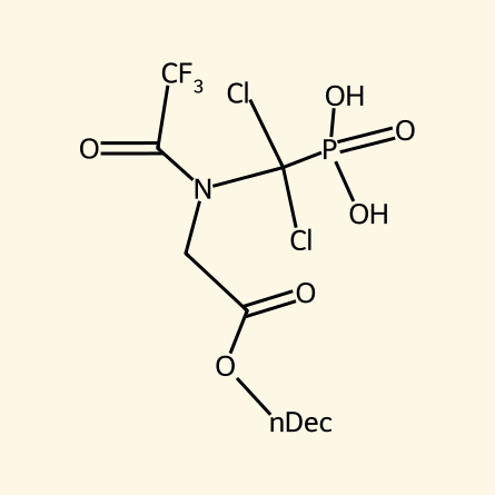 CCCCCCCCCCOC(=O)CN(C(=O)C(F)(F)F)C(Cl)(Cl)P(=O)(O)O